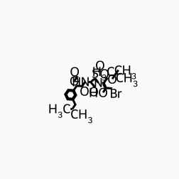 CC(C)Cc1cccc(C(OC=O)C(=O)NC2C(=O)N(C(C(=O)OC(C)(C)C)=C(O)CBr)C2SC=O)c1